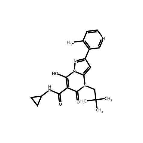 Cc1ccncc1-c1cc2n(CC(C)(C)C)c(=O)c(C(=O)NC3CC3)c(O)n2n1